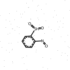 O=Nc1ccccc1[SH](=O)=O